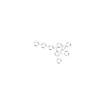 c1ccc(-c2ccc(-c3ccc(N(c4ccc(-c5ccccc5)cc4)c4cccc5c4c4ccc6ccccc6c4n5-c4ccccc4)cc3)cc2)cc1